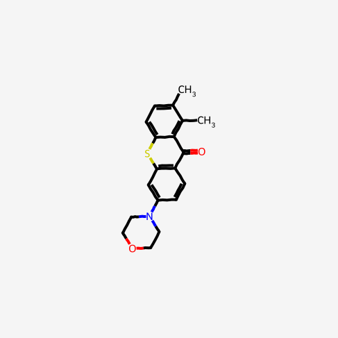 Cc1ccc2sc3cc(N4CCOCC4)ccc3c(=O)c2c1C